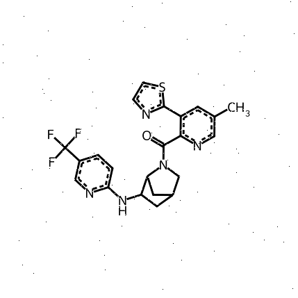 Cc1cnc(C(=O)N2CC3CC(Nc4ccc(C(F)(F)F)cn4)C2C3)c(-c2nccs2)c1